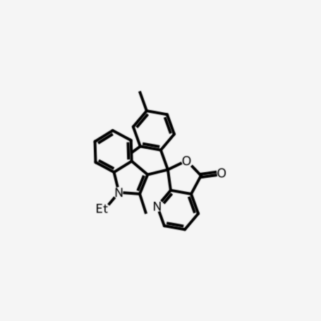 CCn1c(C)c(C2(c3ccc(C)cc3C)OC(=O)c3cccnc32)c2ccccc21